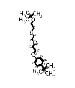 CC(C)(C)OCCOCCOCCOc1ccc(C(C)(C)C)cc1